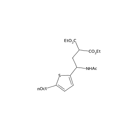 CCCCCCCCc1ccc(C(CC(C(=O)OCC)C(=O)OCC)NC(C)=O)s1